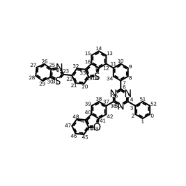 c1ccc(-c2nc(-c3cccc(-c4cccc5c4sc4ccc(-c6nc7ccccc7s6)cc45)c3)nc(-c3ccc4c(c3)oc3ccccc34)n2)cc1